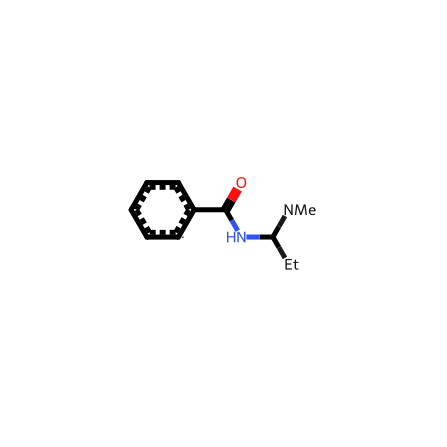 CCC(NC)NC(=O)c1[c]cccc1